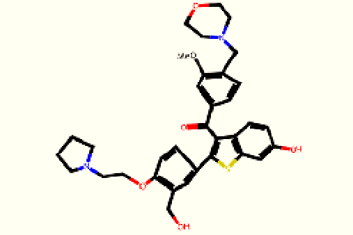 COc1cc(C(=O)c2c(-c3ccc(OCCN4CCCC4)c(CO)c3)sc3cc(O)ccc23)ccc1CN1CCOCC1